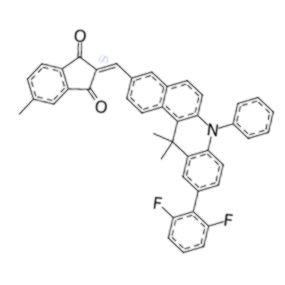 Cc1ccc2c(c1)C(=O)/C(=C\c1ccc3c4c(ccc3c1)N(c1ccccc1)c1ccc(-c3c(F)cccc3F)cc1C4(C)C)C2=O